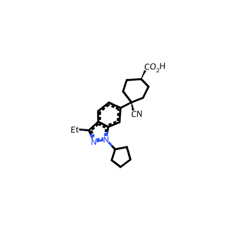 CCc1nn(C2CCCC2)c2cc([C@]3(C#N)CC[C@@H](C(=O)O)CC3)ccc12